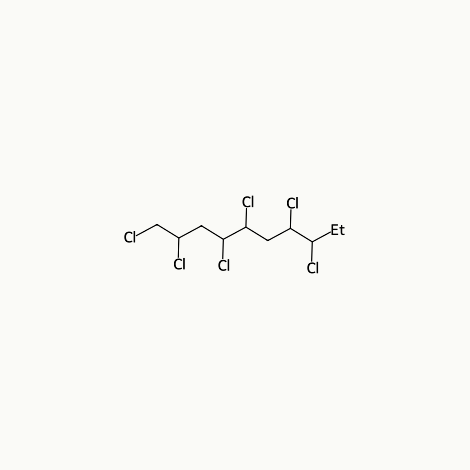 CCC(Cl)C(Cl)CC(Cl)C(Cl)CC(Cl)CCl